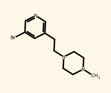 CN1CCN(CCc2cncc(Br)c2)CC1